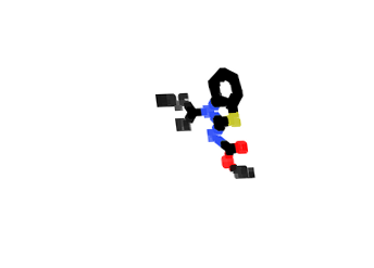 CCC(C(=O)O)n1/c(=N/C(=O)OC(C)(C)C)sc2ccccc21